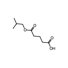 C[C](C)COC(=O)CCCC(=O)O